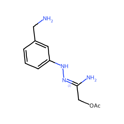 CC(=O)OC/C(N)=N/Nc1cccc(CN)c1